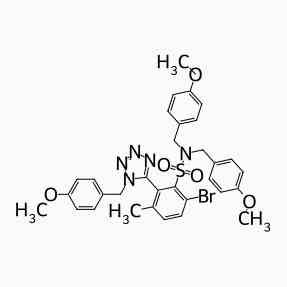 COc1ccc(CN(Cc2ccc(OC)cc2)S(=O)(=O)c2c(Br)ccc(C)c2-c2nnnn2Cc2ccc(OC)cc2)cc1